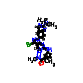 CNC(=O)[C@]1(C)CC[C@@H](Nc2ncc3c(Br)nn(-c4ccc5nc(N(C)C)ncc5c4)c3n2)C1